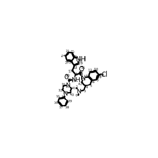 CN(C)CC1Cc2cc(Cl)ccc2N(C(=O)C(Cc2c[nH]c3ccccc23)NC(=O)N2CCN(c3ccccc3)CC2)C1